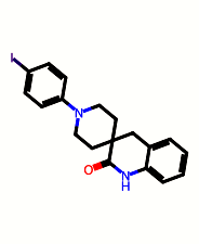 O=C1Nc2ccccc2CC12CCN(c1ccc(I)cc1)CC2